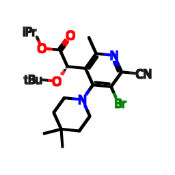 Cc1nc(C#N)c(Br)c(N2CCC(C)(C)CC2)c1[C@H](OC(C)(C)C)C(=O)OC(C)C